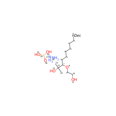 CCCCCCCCCCCCCCCCC(OCCO)C(C)(C)O.N.N.O=S(O)O